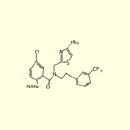 CNc1ccc(Cl)cc1C(=O)N(CCc1cccc(C(F)(F)F)c1)Cc1nc(C(C)(C)C)cs1